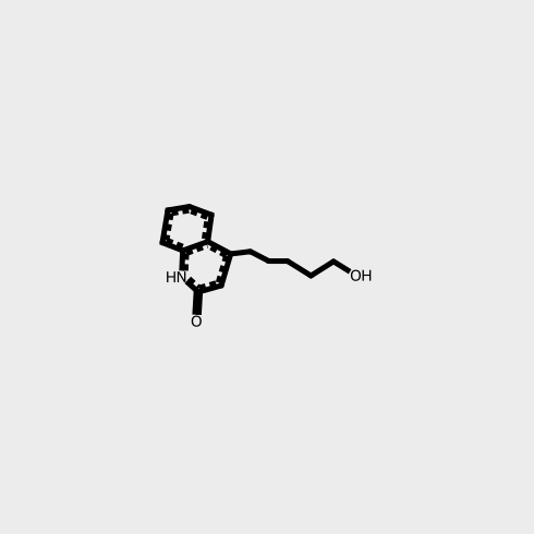 O=c1cc(CCCCCO)c2ccccc2[nH]1